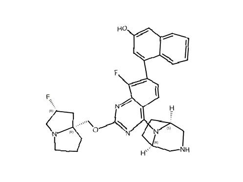 Oc1cc(-c2ccc3c(N4[C@@H]5CC[C@H]4CNC5)nc(OC[C@]45CCCN4C[C@H](F)C5)nc3c2F)c2ccccc2c1